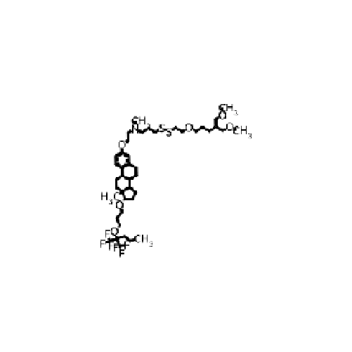 CCCC(OCCCOC1CCC2C3CCc4cc(OCCN(C)CCCSSCCOCCCC(COC)COC)ccc4C3CCC12C)(C(F)(F)F)C(F)(F)F